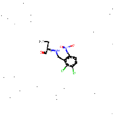 CCC(C=O)NCc1c([N+](=O)[O-])ccc(Cl)c1Cl